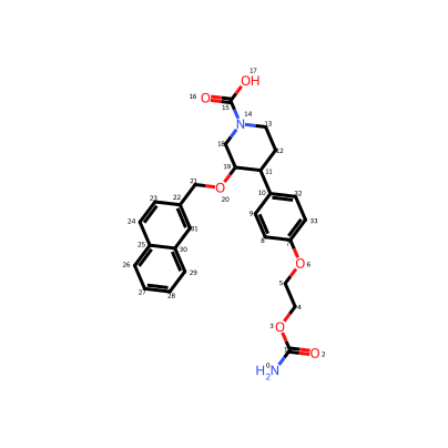 NC(=O)OCCOc1ccc(C2CCN(C(=O)O)CC2OCc2ccc3ccccc3c2)cc1